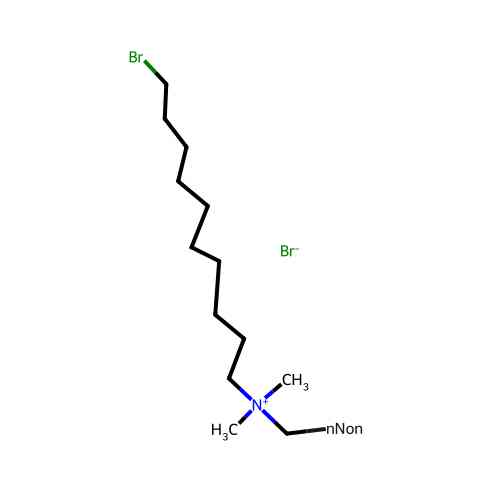 CCCCCCCCCC[N+](C)(C)CCCCCCCCCCBr.[Br-]